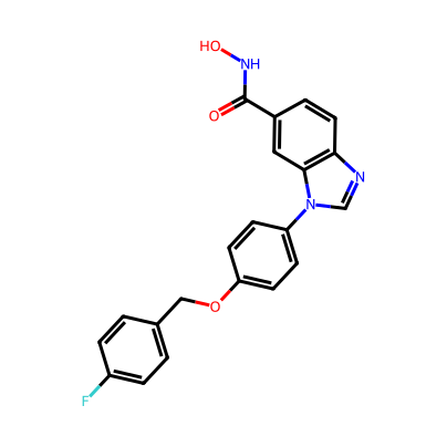 O=C(NO)c1ccc2ncn(-c3ccc(OCc4ccc(F)cc4)cc3)c2c1